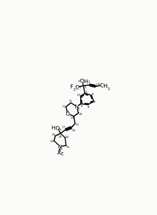 CC#CC(O)(c1cccc(N2CCOC(CC#CC3(O)CCN(C(C)=O)CC3)C2)c1)C(F)(F)F